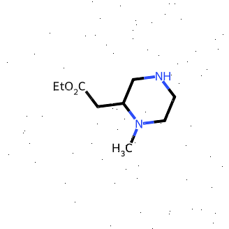 CCOC(=O)CC1CNCCN1C